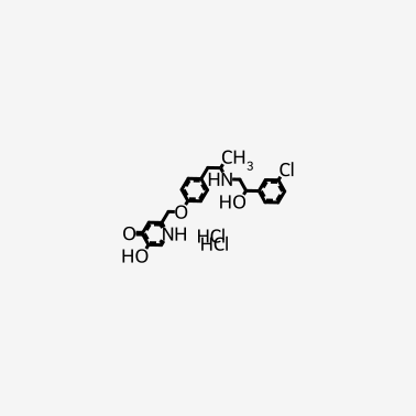 CC(Cc1ccc(OCc2cc(=O)c(O)c[nH]2)cc1)NCC(O)c1cccc(Cl)c1.Cl.Cl